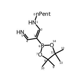 CCCCCN/C=C(\C=N)B1OC(C)(C)C(C)(C)O1